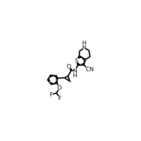 N#Cc1c(NC(=O)C2CC2c2ccccc2OC(F)F)sc2c1CCNC2